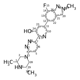 CC1CN(c2ccc(-c3ncc(-c4cc(F)c5nn(C)cc5c4)cc3O)nn2)C[C@H](C)N1